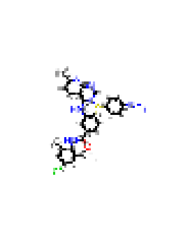 Cc1cc(Cl)cc(C)c1NC(=O)c1ccc(Sc2ccc(N)cc2)c(Nc2ncnc3nc(C(C)C)ccc23)c1